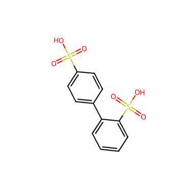 O=S(=O)(O)c1ccc(-c2ccccc2S(=O)(=O)O)cc1